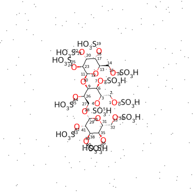 O=S(=O)(O)OC[C@H](OS(=O)(=O)O)[C@H](OS(=O)(=O)O)[C@H](O[C@@H]1O[C@H](COS(=O)(=O)O)[C@@H](OS(=O)(=O)O)[C@@H](OS(=O)(=O)O)[C@@H]1OS(=O)(=O)O)[C@@H](CO[C@@H]1O[C@H](COS(=O)(=O)O)[C@@H](OS(=O)(=O)O)[C@@H](OS(=O)(=O)O)[C@@H]1OS(=O)(=O)O)OS(=O)(=O)O